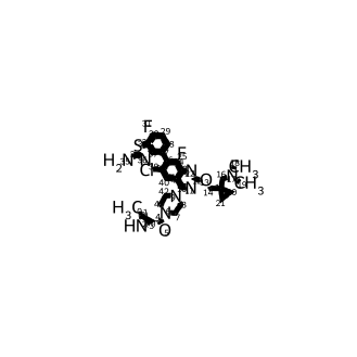 C[C@H]1N[C@H]1C(=O)N1CCN(c2nc(OCC3(CN(C)C)CC3)nc3c(F)c(-c4ccc(F)c5sc(N)nc45)c(Cl)cc23)CC1